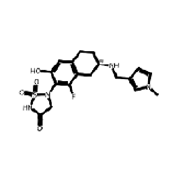 Cn1ccc(CN[C@@H]2CCc3cc(O)c(N4CC(=O)NS4(=O)=O)c(F)c3C2)c1